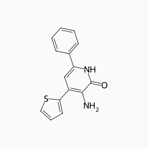 Nc1c(-c2cccs2)cc(-c2ccccc2)[nH]c1=O